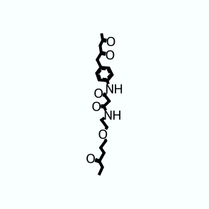 CCC(=O)CCCOCCNC(=O)CC(=O)Nc1ccc(CC(=O)CC(C)=O)cc1